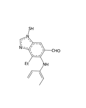 C=C/C(=C\C)Nc1c(C=O)cc2c(ncn2S)c1CC